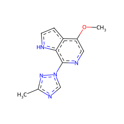 COc1cnc(-n2cnc(C)n2)c2[nH]ccc12